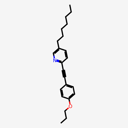 CCCCCCCc1ccc(C#Cc2ccc(OCCC)cc2)nc1